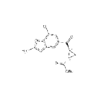 Cc1cc2cc(C(=O)[C@H]3C[C@@H]3C(=O)OCC(C)C)cc(Cl)c2o1